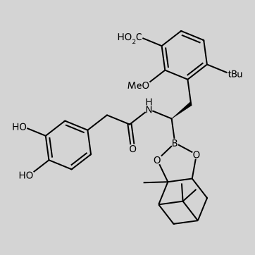 COc1c(C(=O)O)ccc(C(C)(C)C)c1C[C@H](NC(=O)Cc1ccc(O)c(O)c1)B1OC2CC3CC(C3(C)C)C2(C)O1